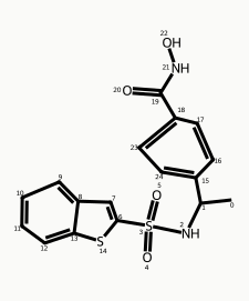 CC(NS(=O)(=O)c1cc2ccccc2s1)c1ccc(C(=O)NO)cc1